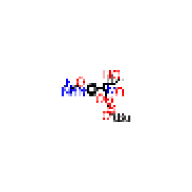 C[C@@H](O)[C@H]1C(=O)N2C(C(=O)OCOC(=O)C(C)(C)C)=C(c3ccc(NC(=O)c4cn(C)cn4)cc3)C[C@H]12